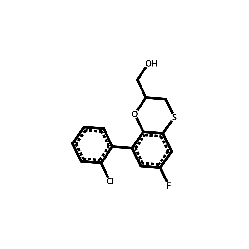 OCC1CSc2cc(F)cc(-c3ccccc3Cl)c2O1